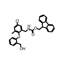 Cc1cc(Cl)cc(CNC(=O)OCC2c3ccccc3-c3ccccc32)c1Sc1ccccc1CO